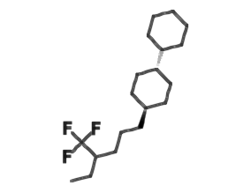 CCC(CCC[C@H]1CC[C@H](C2CCCCC2)CC1)C(F)(F)F